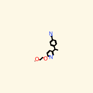 COCCOc1ccc(C(C)c2ccc(C#N)cc2)cn1